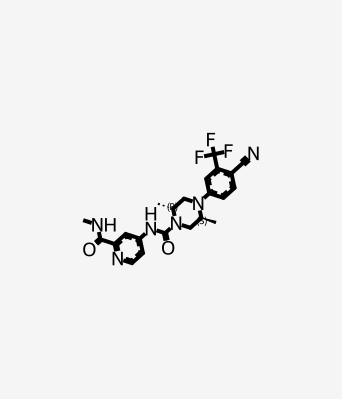 CNC(=O)c1cc(NC(=O)N2C[C@H](C)N(c3ccc(C#N)c(C(F)(F)F)c3)C[C@H]2C)ccn1